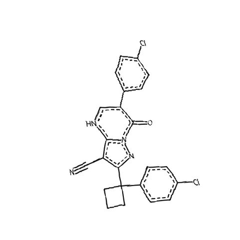 N#Cc1c(C2(c3ccc(Cl)cc3)CCC2)nn2c(=O)c(-c3ccc(Cl)cc3)c[nH]c12